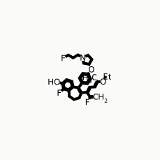 C=C(F)/C(=C\C=C(/C)OCC)C1=C(c2ccc(O[C@H]3CCN(CCCF)C3)cc2)c2ccc(O)c(F)c2CCC1